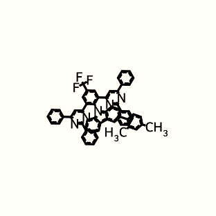 Cc1ccc(-c2ccc3c(c2)c2ccccc2n3-c2c(-c3cc(-c4ccccc4)nc(-c4ccccc4)n3)cc(C(F)(F)F)cc2-c2cc(-c3ccccc3)nc(-c3ccccc3)n2)c(C)c1